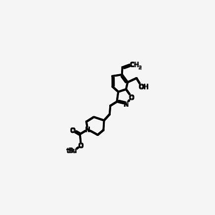 C=CC1=C(CO)C2ON=C(CCC3CCN(C(=O)OC(C)(C)C)CC3)C2C=C1